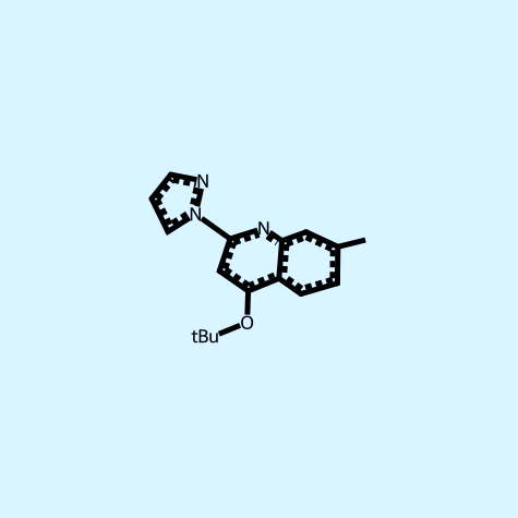 Cc1ccc2c(OC(C)(C)C)cc(-n3cccn3)nc2c1